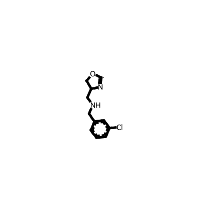 Clc1cccc(CNCC2CO[C]=N2)c1